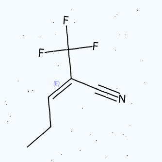 CC/C=C(\C#N)C(F)(F)F